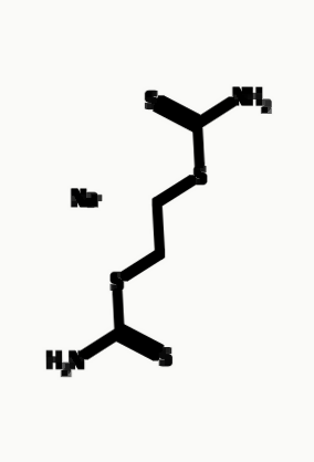 NC(=S)SCCSC(N)=S.[Na]